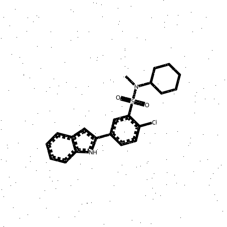 CN(C1CCCCC1)S(=O)(=O)c1cc(-c2[c]c3ccccc3[nH]2)ccc1Cl